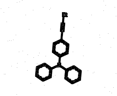 CCC#Cc1ccc(N(c2ccccc2)c2ccccc2)cc1